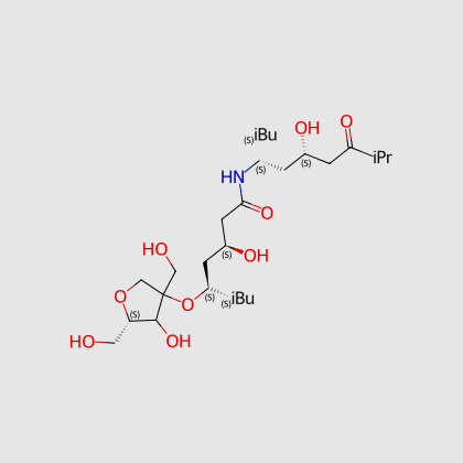 CC[C@H](C)[C@H](C[C@H](O)CC(=O)C(C)C)NC(=O)C[C@@H](O)C[C@H](OC1(CO)CO[C@@H](CO)C1O)[C@@H](C)CC